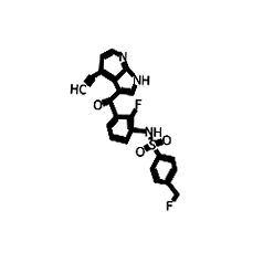 C#Cc1ccnc2[nH]cc(C(=O)c3cccc(NS(=O)(=O)c4ccc(CF)cc4)c3F)c12